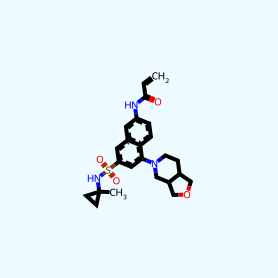 C=CC(=O)Nc1ccc2c(N3CCC4COCC4C3)cc(S(=O)(=O)NC3(C)CC3)cc2c1